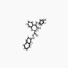 O=C(CSc1ccc2ccccc2c1)C1CNN(Cc2c[nH]cn2)c2ccccc2C1